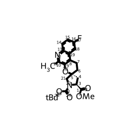 COC(=O)[C@@H]1C[C@]2(CCc3c(c(C)nc4ccc(F)cc34)O2)CN1C(=O)OC(C)(C)C